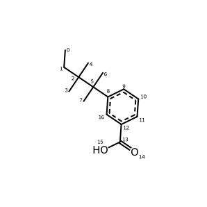 CCC(C)(C)C(C)(C)c1cccc(C(=O)O)c1